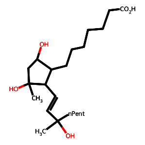 CCCCCC(C)(O)C=CC1C(CCCCCCC(=O)O)C(O)CC1(C)O